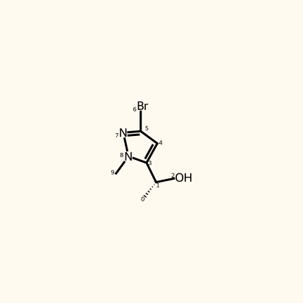 C[C@@H](O)c1cc(Br)nn1C